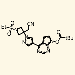 CCS(=O)(=O)N1CC(CC#N)(n2cc(-c3ncnc4c3ccn4OC(=O)C(C)(C)C)cn2)C1